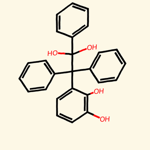 Oc1cccc(C(c2ccccc2)(c2ccccc2)C(O)(O)c2ccccc2)c1O